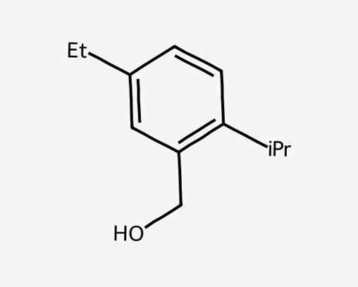 CCc1ccc(C(C)C)c(CO)c1